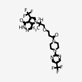 [2H]C(C)(COCCC(=O)N1CCN(c2ncc(C(F)(F)F)cn2)CC1)n1cc(C(F)(F)F)c2c(=O)[nH]ncc21